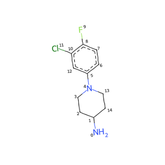 NC1CCN(c2ccc(F)c(Cl)c2)CC1